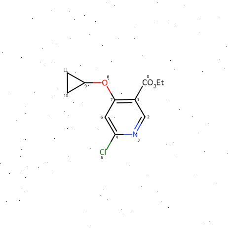 CCOC(=O)c1cnc(Cl)cc1OC1CC1